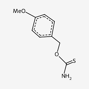 COc1ccc(COC(N)=S)cc1